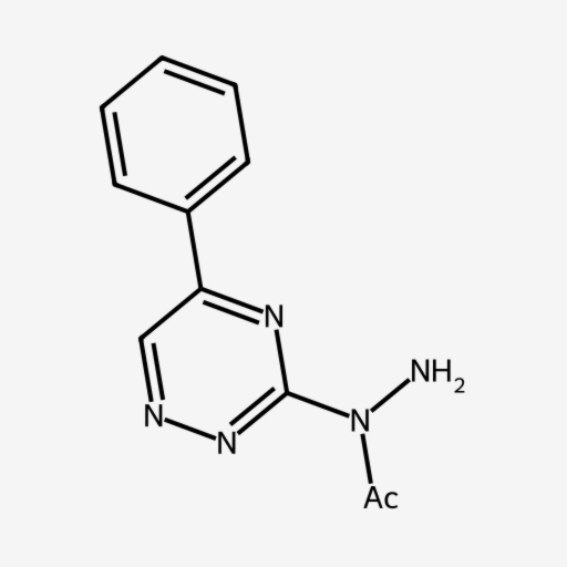 CC(=O)N(N)c1nncc(-c2ccccc2)n1